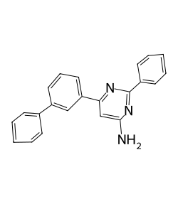 Nc1cc(-c2cccc(-c3ccccc3)c2)nc(-c2ccccc2)n1